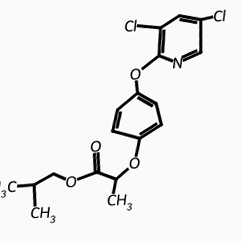 CC(C)COC(=O)C(C)Oc1ccc(Oc2ncc(Cl)cc2Cl)cc1